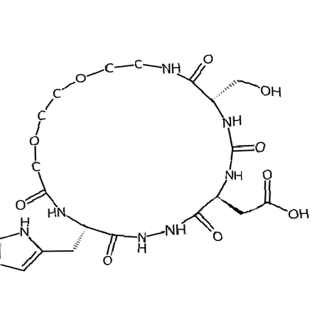 O=C(O)C[C@@H]1NC(=O)N[C@@H](CO)C(=O)NCCOCCOCC(=O)N[C@@H](Cc2cnc[nH]2)C(=O)NNC1=O